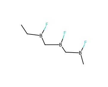 CCB(F)CB(F)CB(C)F